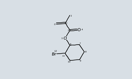 C=C(C)C(=O)OC1CCCCC1Br